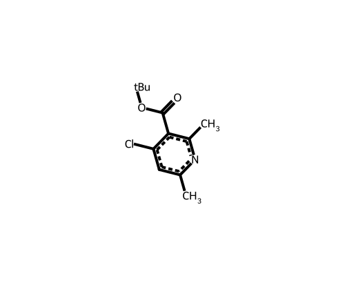 Cc1cc(Cl)c(C(=O)OC(C)(C)C)c(C)n1